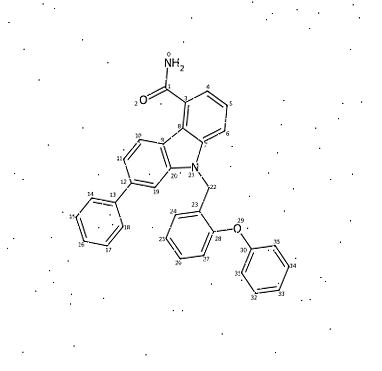 NC(=O)c1cccc2c1c1[c]cc(-c3ccccc3)cc1n2Cc1ccccc1Oc1ccccc1